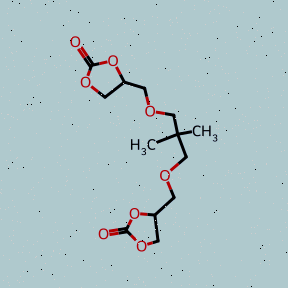 CC(C)(COCC1COC(=O)O1)COCC1COC(=O)O1